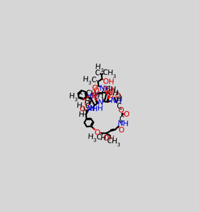 CC[C@H](C)[C@H]1NC(=O)[C@@H](NC(=O)[C@H](C)[C@H](O)C(C)C)[C@@H](C)OC(=O)[C@@H]2COC(=O)CNC(=O)/C=C/[C@](O)(CC)[C@@H](C)OC3=CC=C(CC3)[C@H](NC1=O)C(=O)N(C)[C@@H](Cc1ccccc1)C(=O)N[C@H]([C@@H](C)O)C(=O)N2